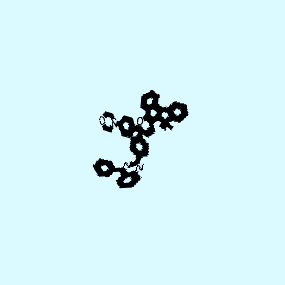 CC1(C)c2ccccc2-c2c1c1c(c3ccccc23)OC(c2ccc(-c3nc(-c4ccccc4)c4ccccc4n3)cc2)(c2ccc(N3CCOCC3)cc2)C=C1